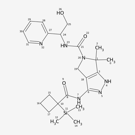 CC1(C)c2[nH]nc(NC(=O)C3([Si](C)(C)C)CCC3)c2CN1C(=O)NC(CO)c1ccccn1